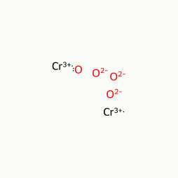 [Cr+3].[Cr+3].[O-2].[O-2].[O-2].[O]